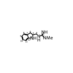 CNC(=N)NCC1Cc2ccccc2N1